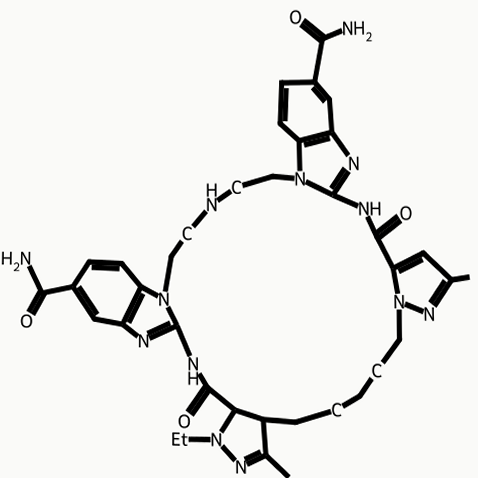 CCN1N=C(C)C2CCCCCn3nc(C)cc3C(=O)Nc3nc4cc(C(N)=O)ccc4n3CCNCCn3c(nc4cc(C(N)=O)ccc43)NC(=O)C21